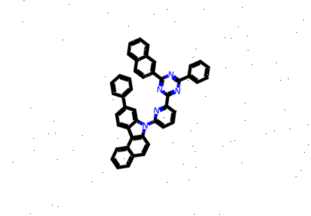 c1ccc(-c2ccc3c4c5ccccc5ccc4n(-c4cccc(-c5nc(-c6ccccc6)nc(-c6ccc7ccccc7c6)n5)n4)c3c2)cc1